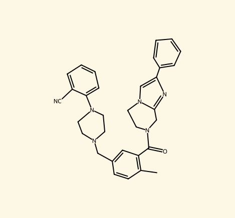 Cc1ccc(CN2CCN(c3ccccc3C#N)CC2)cc1C(=O)N1CCn2cc(-c3ccccc3)nc2C1